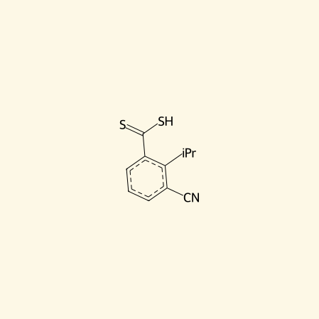 CC(C)c1c(C#N)cccc1C(=S)S